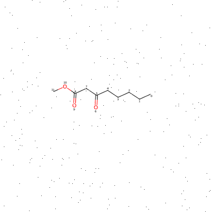 CCCCCC(=O)CC(=O)OC